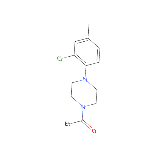 CCC(=O)N1CCN(c2ccc(C)cc2Cl)CC1